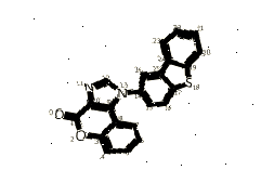 O=c1oc2ccccc2c2c1ncn2-c1ccc2sc3ccccc3c2c1